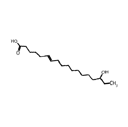 CCC(O)CCCCCCCCC=CCCCCC(=O)O